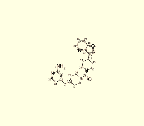 Nc1cc(CN2CCC(C(=O)N3CCC(c4noc5cccnc45)CC3)CC2)ccn1